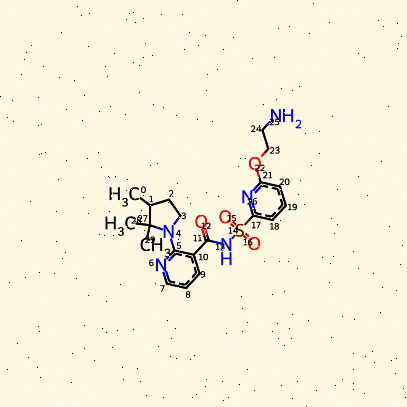 CC1CCN(c2ncccc2C(=O)NS(=O)(=O)c2cccc(OCCN)n2)C1(C)C